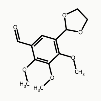 COc1c(C=O)cc(C2OCCO2)c(OC)c1OC